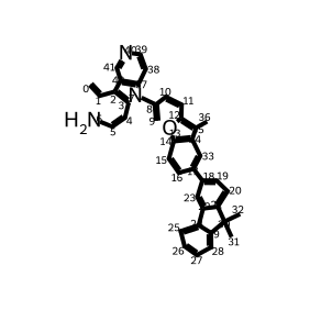 C=Cc1c(/C=C\N)n(C(=C)/C=C\c2oc3ccc(-c4ccc5c(c4)-c4ccccc4C5(C)C)cc3c2C)c2ccncc12